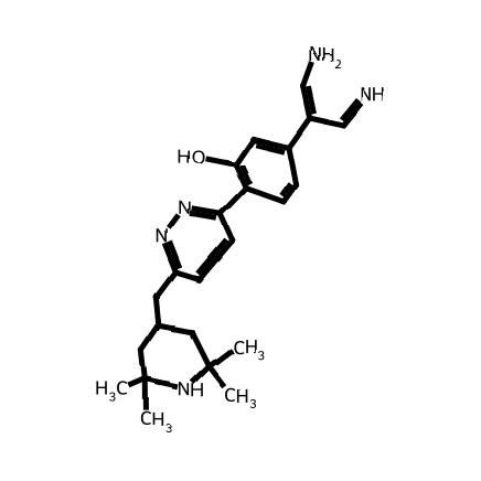 CC1(C)CC(Cc2ccc(-c3ccc(/C(C=N)=C/N)cc3O)nn2)CC(C)(C)N1